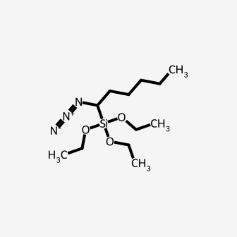 CCCCCC(N=[N+]=[N-])[Si](OCC)(OCC)OCC